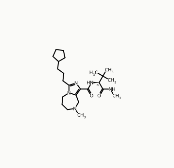 CNC(=O)[C@@H](NC(=O)c1nc(CCCC2CCCC2)n2c1CN(C)CCC2)C(C)(C)C